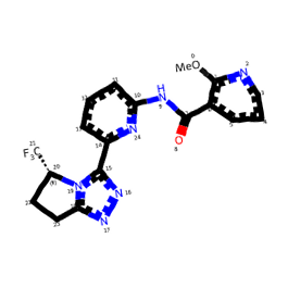 COc1ncccc1C(=O)Nc1cccc(-c2nnc3n2[C@@H](C(F)(F)F)CC3)n1